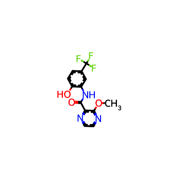 COc1nccnc1C(=O)Nc1cc(C(F)(F)F)ccc1O